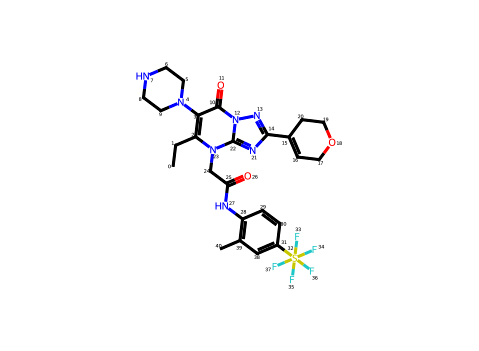 CCc1c(N2CCNCC2)c(=O)n2nc(C3=CCOCC3)nc2n1CC(=O)Nc1ccc(S(F)(F)(F)(F)F)cc1C